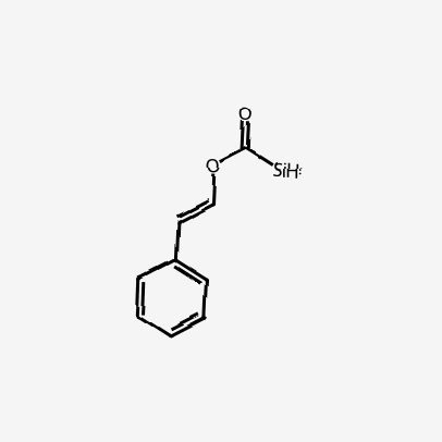 O=C([SiH])OC=Cc1ccccc1